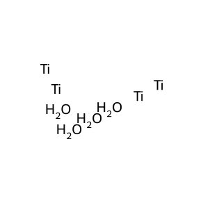 O.O.O.O.[Ti].[Ti].[Ti].[Ti]